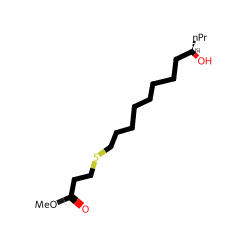 CCC[C@H](O)CCCCCCCCSCCC(=O)OC